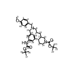 COc1ccc(CN(CCCC2CCCN(C(=O)OC(C)(C)C)C2)Cc2cccc(NC(=O)OC(C)(C)C)n2)cc1